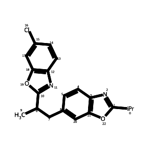 CC(C)c1nc2ccc(CC(C)c3nc4ccc(Cl)cc4o3)cc2o1